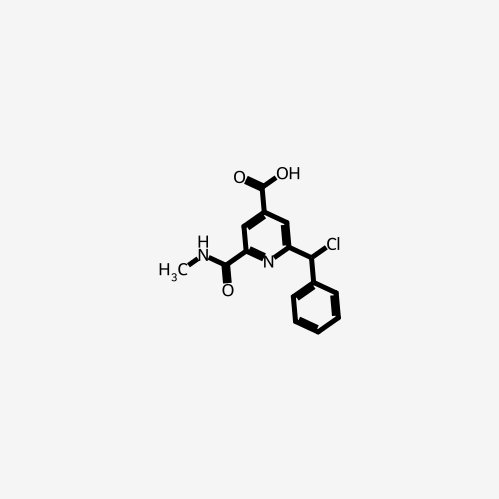 CNC(=O)c1cc(C(=O)O)cc(C(Cl)c2ccccc2)n1